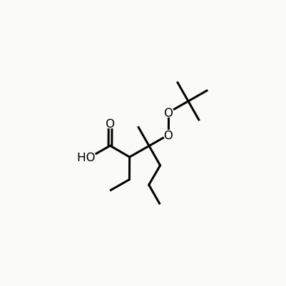 CCCC(C)(OOC(C)(C)C)C(CC)C(=O)O